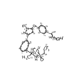 CCn1nc(-c2cccc(C(C)(C)NS(=O)(=O)CC(F)(F)F)c2)cc1Oc1ccc(CNO)cc1